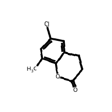 Cc1cc(Cl)cc2c1OC(=O)CC2